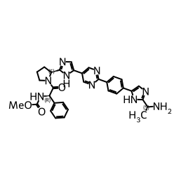 COC(=O)N[C@@H](C(=O)N1CCC[C@H]1c1ncc(-c2cnc(-c3ccc(-c4cnc([C@H](C)N)[nH]4)cc3)nc2)[nH]1)c1ccccc1